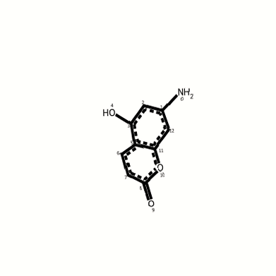 Nc1cc(O)c2ccc(=O)oc2c1